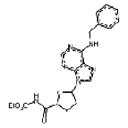 CCOC(=O)NC(=O)C1CCC(n2cnc3c(NCc4ccccc4)ncnc32)O1